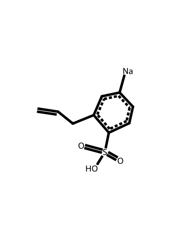 C=CCc1c[c]([Na])ccc1S(=O)(=O)O